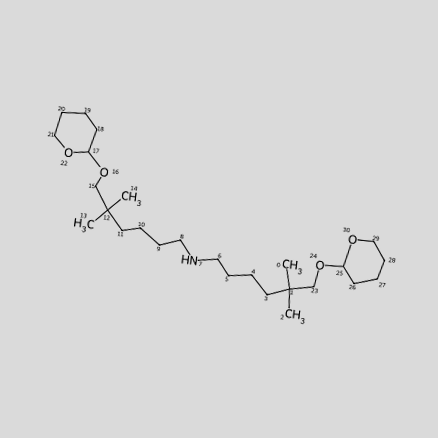 CC(C)(CCCCNCCCCC(C)(C)COC1CCCCO1)COC1CCCCO1